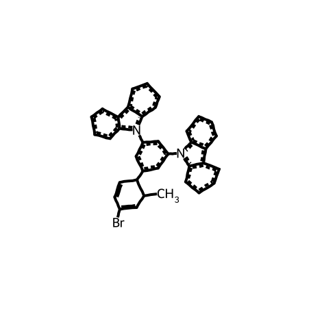 CC1C=C(Br)C=CC1c1cc(-n2c3ccccc3c3ccccc32)cc(-n2c3ccccc3c3ccccc32)c1